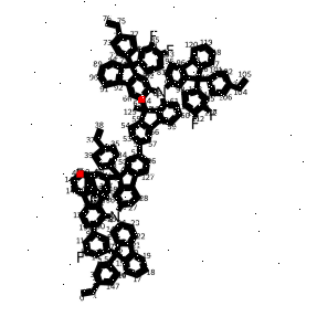 C=Cc1ccc(C2(c3cc(F)cc(F)c3)c3ccccc3-c3ccc(N(c4ccc5c(c4)C(c4ccc(C=C)cc4)(c4cc(F)cc(F)c4)c4cc(-c6ccc7c(c6)-c6cccc(N(c8ccc9c(c8)C(c8ccc(C=C)cc8)(c8ccc(F)c(F)c8)c8ccccc8-9)c8ccc9c(c8)C(c8ccc(C=C)cc8)(c8ccc(F)c(F)c8)c8ccccc8-9)c6C7(C)C)ccc4-5)c4cccc5c4C(C)(C)c4ccccc4-5)cc32)cc1